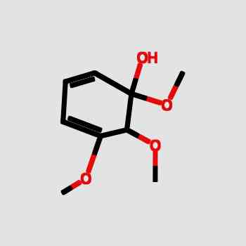 COC1=CC=CC(O)(OC)C1OC